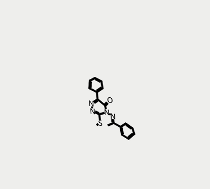 CSc1nnc(-c2ccccc2)c(=O)n1N=C(C)c1ccccc1